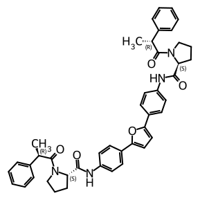 C[C@@H](C(=O)N1CCC[C@H]1C(=O)Nc1ccc(-c2ccc(-c3ccc(NC(=O)[C@@H]4CCCN4C(=O)[C@H](C)c4ccccc4)cc3)o2)cc1)c1ccccc1